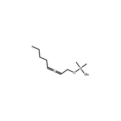 CC(C)(C)[Si](C)(C)OCC=C=CCCCI